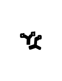 C=C(C)C=O.C=C(Cl)Cl